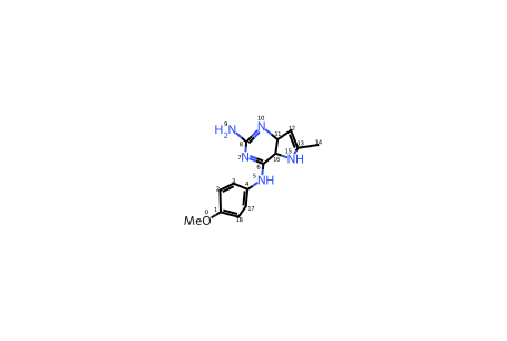 COc1ccc(NC2=NC(N)=NC3C=C(C)NC23)cc1